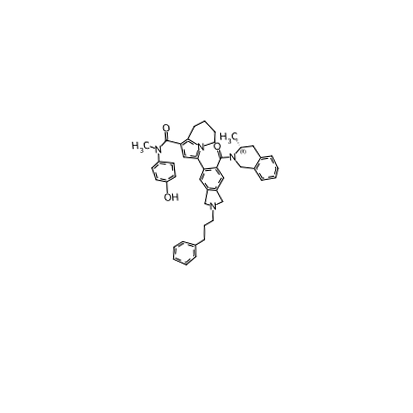 C[C@@H]1Cc2ccccc2CN1C(=O)c1cc2c(cc1-c1cc(C(=O)N(C)c3ccc(O)cc3)c3n1CCCC3)CN(CCCc1ccccc1)C2